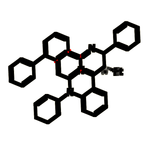 CC[C@@H]1C(c2ccccc2N(C2=CCCC=C2)c2ccccc2)=NC(c2cccc(-c3ccccc3)c2)=NC1c1ccccc1